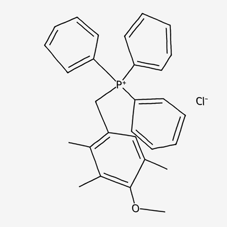 COc1c(C)cc(C[P+](c2ccccc2)(c2ccccc2)c2ccccc2)c(C)c1C.[Cl-]